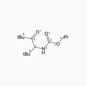 CC(C)OC(=O)NC(C(=O)C(C)(C)C)C(C)(C)C